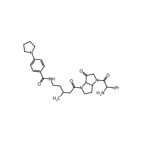 CCCC(N)C(=O)N1CC(=O)C2C1CCN2C(=O)CC(C)CCNC(=O)c1ccc(N2CCCC2)cc1